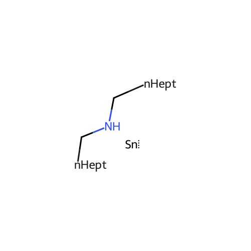 CCCCCCCCNCCCCCCCC.[Sn]